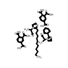 CC(C#N)n1ccnc1-c1ccccc1.CCCCCCCCCCCc1nccn1C(C)C#N.O=C(O)c1ccc(C(=O)O)c(C(=O)O)c1.O=C(O)c1ccc(C(=O)O)c(C(=O)O)c1